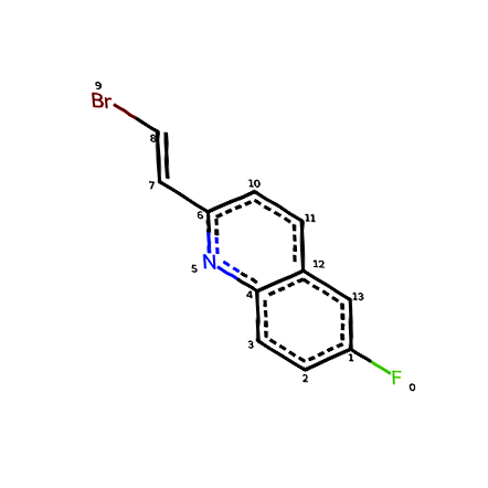 Fc1ccc2nc(C=CBr)ccc2c1